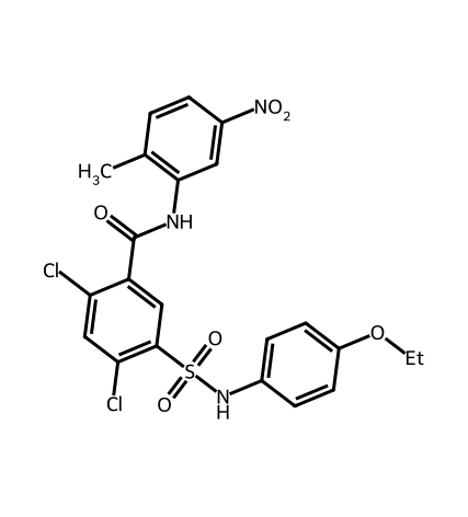 CCOc1ccc(NS(=O)(=O)c2cc(C(=O)Nc3cc([N+](=O)[O-])ccc3C)c(Cl)cc2Cl)cc1